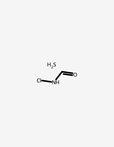 O=CNCl.S